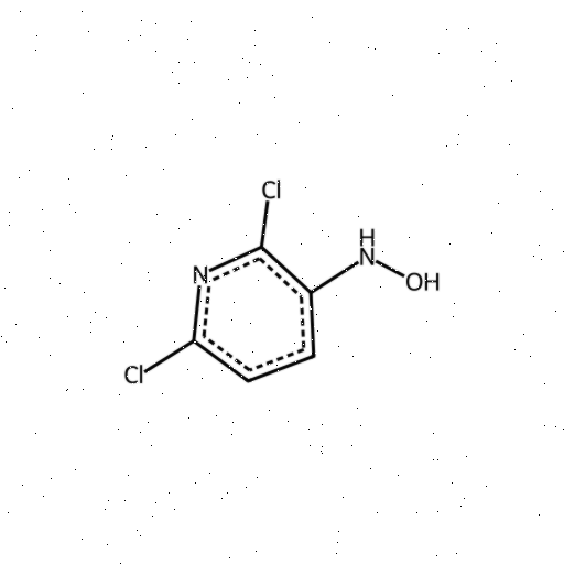 ONc1ccc(Cl)nc1Cl